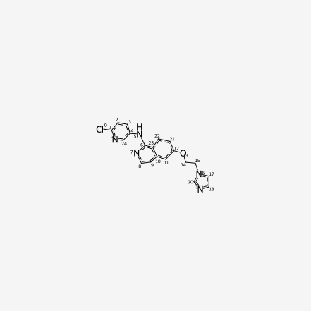 Clc1ccc(Nc2nccc3cc(OCCn4ccnc4)ccc23)cn1